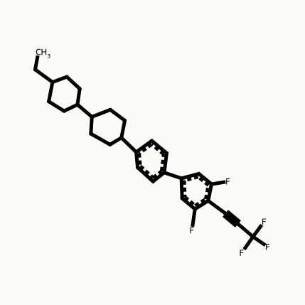 CCC1CCC(C2CCC(c3ccc(-c4cc(F)c(C#CC(F)(F)F)c(F)c4)cc3)CC2)CC1